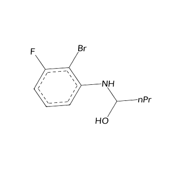 CCCC(O)Nc1cccc(F)c1Br